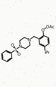 CC(=O)OOc1ccc(C(C)C)cc1CN1CCN(S(=O)(=O)c2ccccc2)CC1